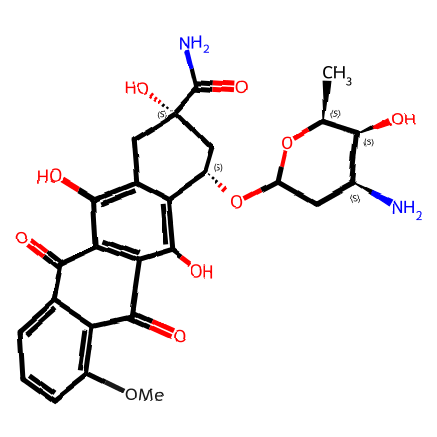 COc1cccc2c1C(=O)c1c(O)c3c(c(O)c1C2=O)C[C@@](O)(C(N)=O)C[C@@H]3OC1C[C@H](N)[C@H](O)[C@H](C)O1